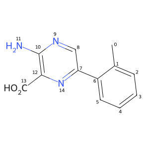 Cc1ccccc1-c1cnc(N)c(C(=O)O)n1